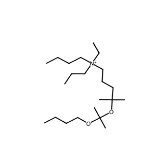 CCCCOC(C)(C)OC(C)(C)CCC[N+](CC)(CCC)CCCC